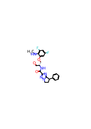 CNc1c(F)cc(F)cc1OC[C@@H](C=O)NC(=O)c1nc2n(n1)CCC2c1ccccc1